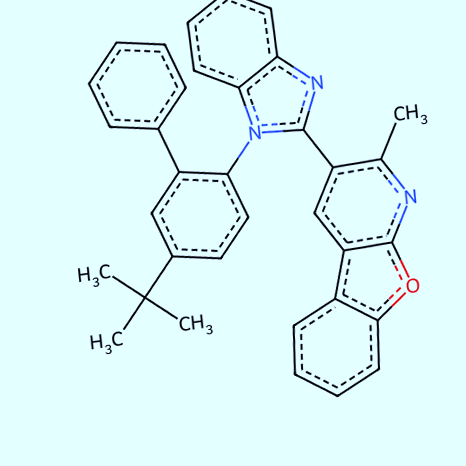 Cc1nc2oc3ccccc3c2cc1-c1nc2ccccc2n1-c1ccc(C(C)(C)C)cc1-c1ccccc1